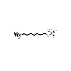 CCCCCCCCO[Si]([O-])([O-])[O-].[Li+].[Li+].[Li+]